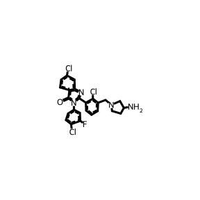 NC1CCN(Cc2cccc(-c3nc4cc(Cl)ccc4c(=O)n3-c3ccc(Cl)c(F)c3)c2Cl)C1